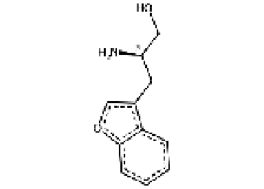 N[C@@H](CO)Cc1coc2ccccc12